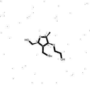 C[C@@H]1O[C@H](CO)C(CC(C)(C)C)[C@@H]1OCCO